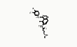 Cc1c(NC(=O)/C=C/CN(C)C)ccc2ncnc(Nc3ccc(F)c(Cl)c3)c12